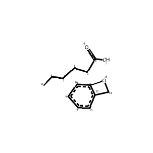 CCCCCC(=O)O.c1ccc2c(c1)CO2